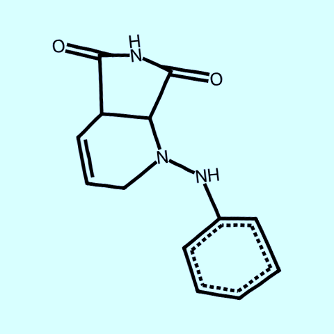 O=C1NC(=O)C2C1C=CCN2Nc1ccccc1